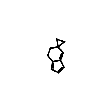 C1=CC2=CC3(CCC2=C1)CC3